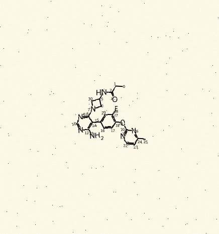 CCC(=O)NC1CN(c2ncnc(N)c2-c2ccc(Oc3nccc(C)n3)c(F)c2)C1